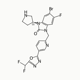 O=c1n(Cc2ccc(-c3nnc(C(F)F)o3)cn2)c2cc(F)c(Br)cc2n1[C@H]1CCNC1